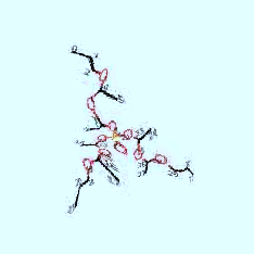 CCCOC(C)OC(C)OP(=O)(OC(C)OC(C)OCCC)OC(C)OC(C)OCCC